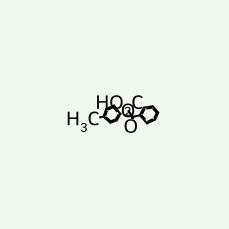 Cc1ccc(OC(=O)c2ccccc2C(=O)O)cc1